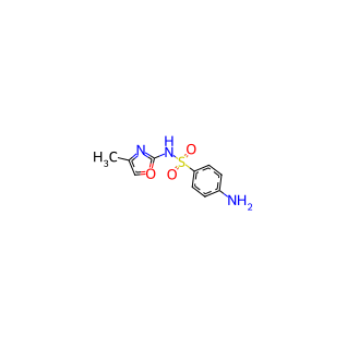 Cc1coc(NS(=O)(=O)c2ccc(N)cc2)n1